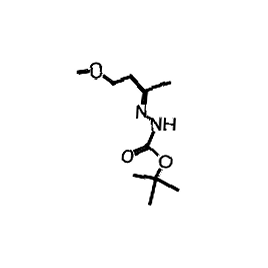 COCCC(C)=NNC(=O)OC(C)(C)C